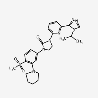 CC(C)n1cnnc1-c1cccc(N2CCN(c3ccc(S(C)(=O)=O)c(N4CCCCC4)c3)C2=O)n1